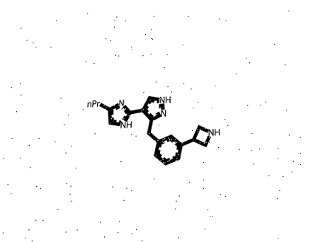 CCCc1c[nH]c(-c2c[nH]nc2Cc2cccc(C3CNC3)c2)n1